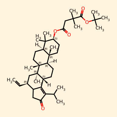 C=C[C@H]1C[C@]2(C)[C@H](CC[C@@H]3[C@@]4(C)CC[C@H](OC(=O)CC(C)(C)C(=O)OC(C)(C)C)C(C)(C)[C@@H]4CC[C@]32C)C2=C(C(C)C)C(=O)CC21